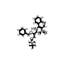 CC(C)(C)[Si](C)(C)OCC(CNc1c([N+](=O)[O-])cnc2ccccc12)OCc1ccccc1